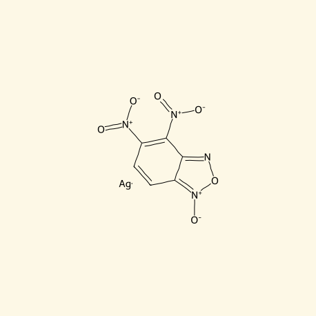 O=[N+]([O-])c1ccc2c(no[n+]2[O-])c1[N+](=O)[O-].[Ag]